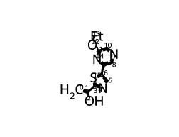 C=C(O)c1ncc(-c2cncc(OCC)n2)s1